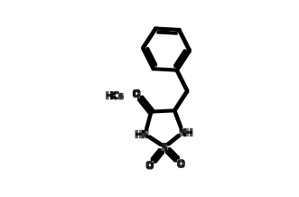 O=C1NS(=O)(=O)NC1Cc1ccccc1.[CsH]